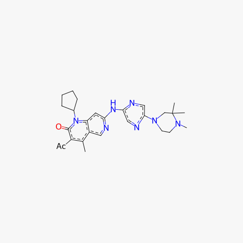 CC(=O)c1c(C)c2cnc(Nc3cnc(N4CCN(C)C(C)(C)C4)cn3)cc2n(C2CCCC2)c1=O